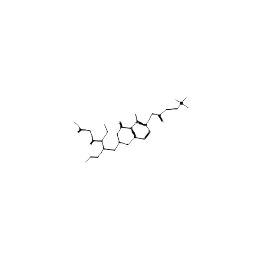 CCCC(CC1CC(=O)c2c(ccc(CC(=O)CCC(C)(C)C)c2C)C1)C(CC)C(=O)CC(C)=O